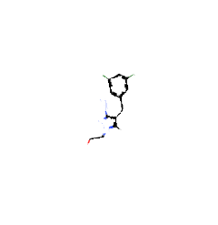 Cc1c(Cc2cc(Cl)cc(Cl)c2)c(N)nn1CCO